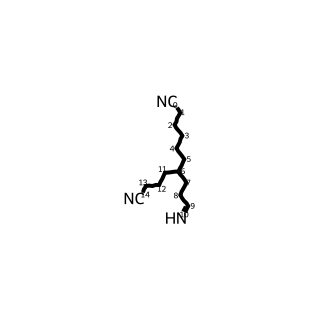 N#CCCCCCC(CCC=N)CCCC#N